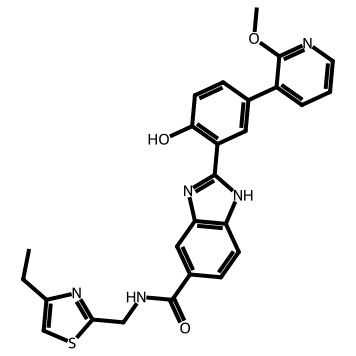 CCc1csc(CNC(=O)c2ccc3[nH]c(-c4cc(-c5cccnc5OC)ccc4O)nc3c2)n1